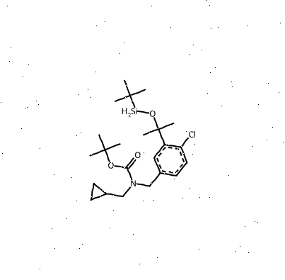 CC(C)(C)OC(=O)N(Cc1ccc(Cl)c(C(C)(C)O[SiH2]C(C)(C)C)c1)CC1CC1